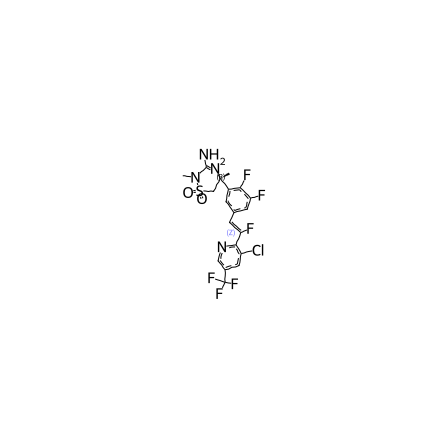 CN1C(N)=N[C@](C)(c2cc(/C=C(\F)c3ncc(C(F)(F)F)cc3Cl)cc(F)c2F)CS1(=O)=O